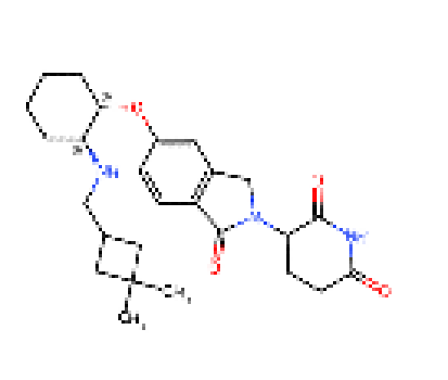 CC1(C)CC(CN[C@H]2CCCC[C@@H]2Oc2ccc3c(c2)CN(C2CCC(=O)NC2=O)C3=O)C1